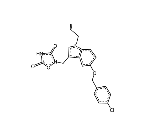 C=CCn1cc(Cn2oc(=O)[nH]c2=O)c2cc(OCc3ccc(Cl)cc3)ccc21